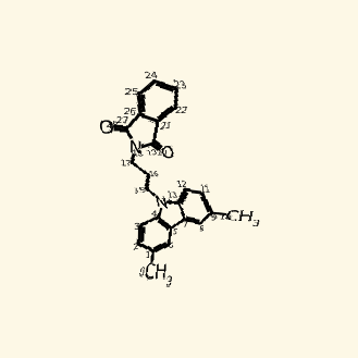 Cc1ccc2c(c1)c1cc(C)ccc1n2CCCN1C(=O)c2ccccc2C1=O